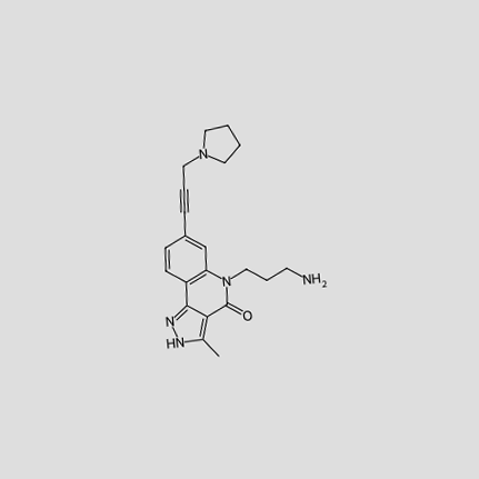 Cc1[nH]nc2c1c(=O)n(CCCN)c1cc(C#CCN3CCCC3)ccc21